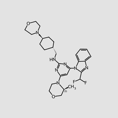 C[C@H]1COCCN1c1cc(-n2c(C(F)F)nc3ccccc32)nc(NC[C@H]2CC[C@H](N3CCOCC3)CC2)n1